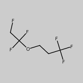 FCC(F)(F)OCCC(F)(F)F